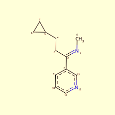 C/N=C(\CCC1CC1)c1cccnc1